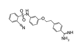 N#Cc1ccccc1S(=O)(=O)Nc1cccc(OCCc2ccc(C(=N)N)cc2)c1